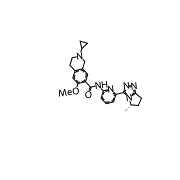 COc1cc2c(cc1C(=O)Nc1cccc(-c3nnc4n3[C@@H](C)CC4)n1)CN(C1CC1)CC2